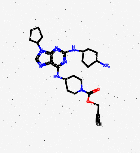 C#CCOC(=O)N1CCC(Nc2nc(NC3CCC(N)CC3)nc3c2ncn3C2CCCC2)CC1